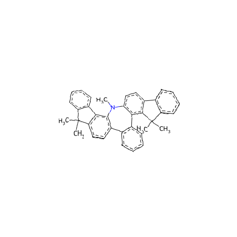 CN1c2ccc3c(c2-c2ccccc2-c2ccc4c(c21)-c1ccccc1C4(C)C)C(C)(C)c1ccccc1-3